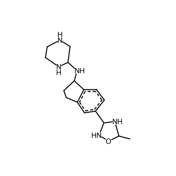 CC1NC(c2ccc3c(c2)CCC3NC2CNCCN2)NO1